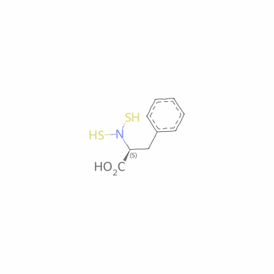 O=C(O)[C@H](Cc1ccccc1)N(S)S